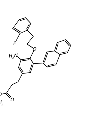 COC(=O)CCc1cc(N)c(OCCc2ccccc2F)c(-c2ccc3ccccc3c2)c1